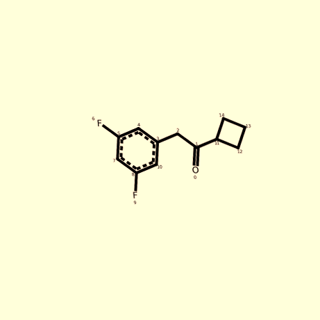 O=C(Cc1cc(F)cc(F)c1)C1CCC1